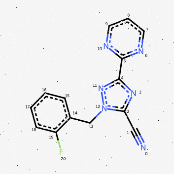 N#Cc1nc(-c2ncccn2)nn1Cc1ccccc1F